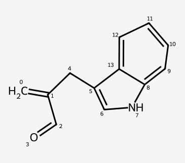 C=C(C=O)Cc1c[nH]c2ccccc12